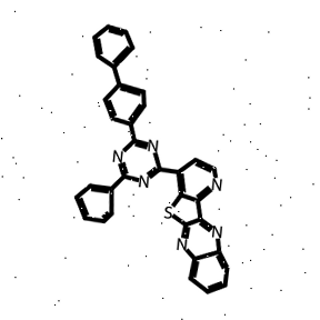 c1ccc(-c2ccc(-c3nc(-c4ccccc4)nc(-c4ccnc5c4sc4nc6ccccc6nc45)n3)cc2)cc1